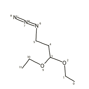 CCOC(CCN=[N+]=[N-])OCC